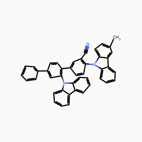 Cc1ccc2c(c1)c1ccccc1n2-c1ccc(-c2ccc(-c3ccccc3)cc2-n2c3ccccc3c3ccccc32)cc1C#N